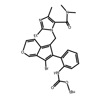 CCc1nc(C)c(C(=O)N(C)C)n1Cc1c2ccocc-2c(Br)c1-c1ccccc1NC(=O)OC(C)(C)C